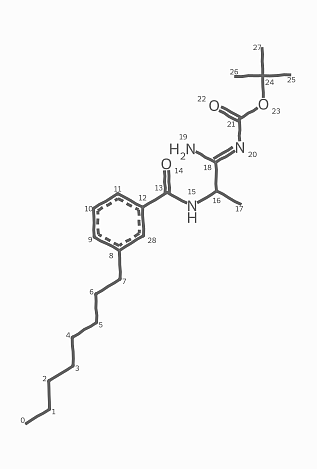 CCCCCCCCc1cccc(C(=O)NC(C)/C(N)=N/C(=O)OC(C)(C)C)c1